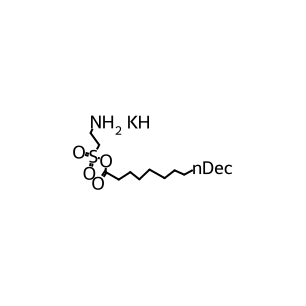 CCCCCCCCCCCCCCCCCC(=O)OS(=O)(=O)CCN.[KH]